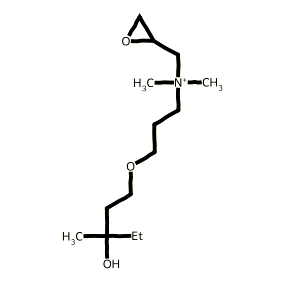 CCC(C)(O)CCOCCC[N+](C)(C)CC1CO1